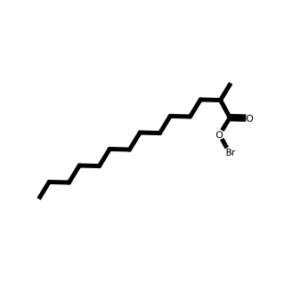 CCCCCCCCCCCCC(C)C(=O)OBr